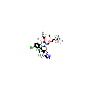 Cc1cnnn1C[C@]12C[C@H]1[C@@](CF)(c1cc(Br)ccc1F)N=C(N(COCC[Si](C)(C)C)C(=O)OC(C)(C)C)S2